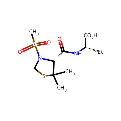 CC[C@H](NC(=O)[C@H]1N(S(C)(=O)=O)CSC1(C)C)C(=O)O